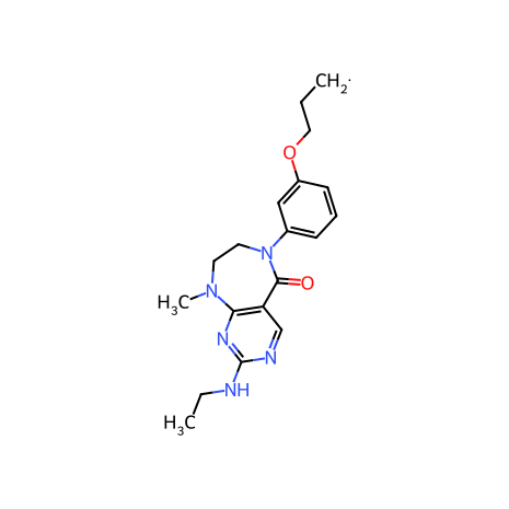 [CH2]CCOc1cccc(N2CCN(C)c3nc(NCC)ncc3C2=O)c1